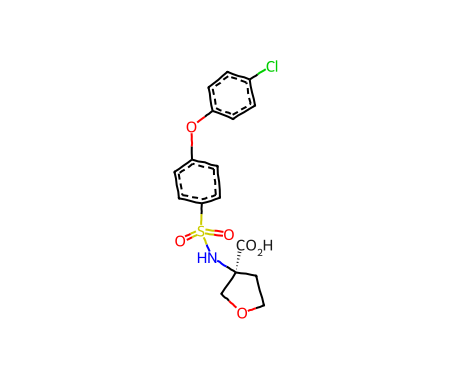 O=C(O)[C@]1(NS(=O)(=O)c2ccc(Oc3ccc(Cl)cc3)cc2)CCOC1